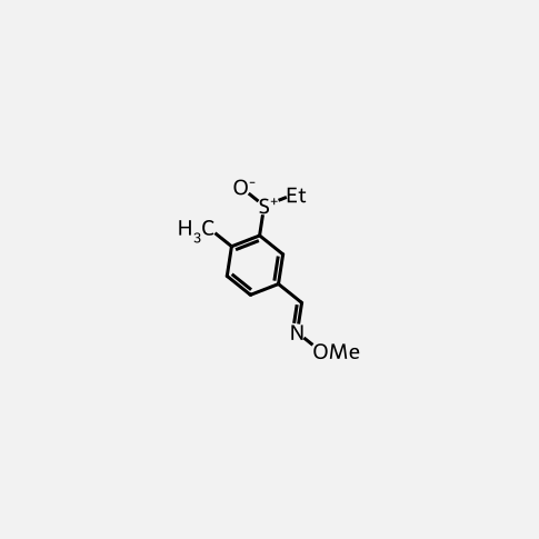 CC[S+]([O-])c1cc(/C=N/OC)ccc1C